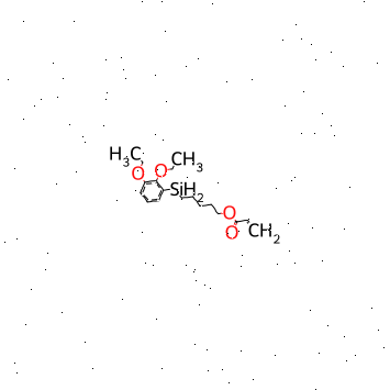 C=CC(=O)OCCCCC[SiH2]c1cccc(OCC)c1OCC